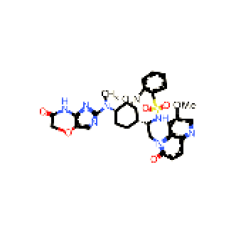 COc1cnc2ccc(=O)n(CC(NS(=O)(=O)c3ccccc3[N+](=O)[O-])[C@H]3CC[C@H](N(C)c4ncc5c(n4)NC(=O)CO5)CC3)c2c1